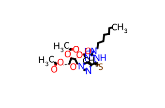 CCCCCCCNc1nc2c(ncn2[C@@H]2O[C@H](COC(C)=O)C(OC(C)=O)[C@@H]2OC(C)=O)c(=S)[nH]1